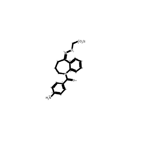 CCOC(=O)CO/N=C1/CCCN(C(=O)c2ccc(N)cc2)c2ccccc21